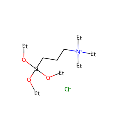 CCO[Si](CCC[N+](CC)(CC)CC)(OCC)OCC.[Cl-]